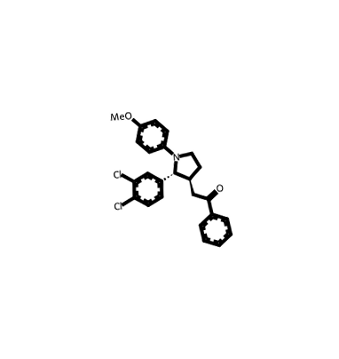 COc1ccc(N2CC[C@@H](CC(=O)c3ccccc3)[C@@H]2c2ccc(Cl)c(Cl)c2)cc1